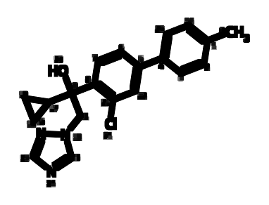 Cc1ccc(-c2ccc(C(O)(Cn3cncn3)C3CC3)c(Cl)c2)cc1